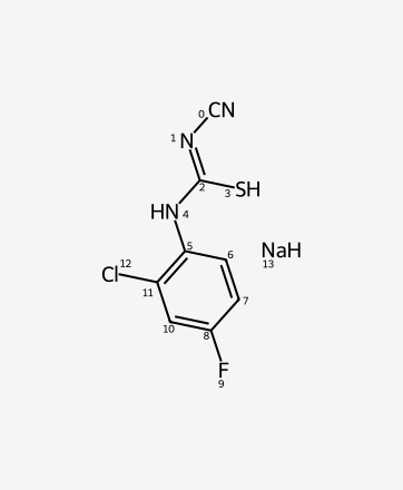 N#CN=C(S)Nc1ccc(F)cc1Cl.[NaH]